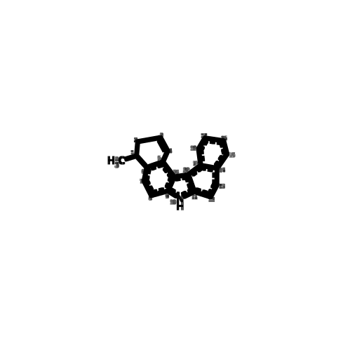 CC1CC=Cc2c1ccc1[nH]c3ccc4ccccc4c3c21